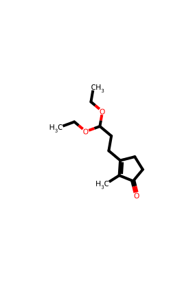 CCOC(CCC1=C(C)C(=O)CC1)OCC